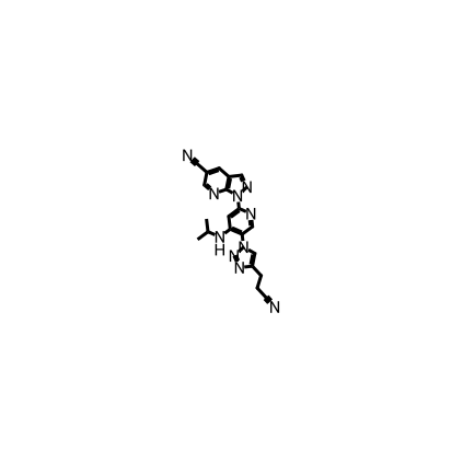 CC(C)Nc1cc(-n2ncc3cc(C#N)cnc32)ncc1-n1cc(CCC#N)nn1